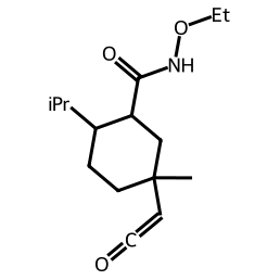 CCONC(=O)C1CC(C)(C=C=O)CCC1C(C)C